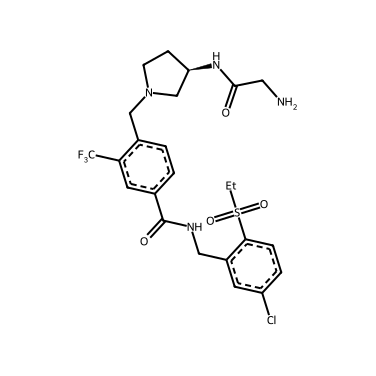 CCS(=O)(=O)c1ccc(Cl)cc1CNC(=O)c1ccc(CN2CC[C@@H](NC(=O)CN)C2)c(C(F)(F)F)c1